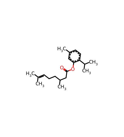 CC(C)=CCCC(C)CC(=O)Oc1cc(C)ccc1C(C)C